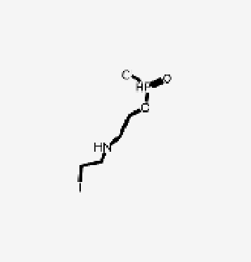 O=[PH](Cl)OCCNCCI